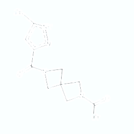 CC(C)C(=O)N1CC2(CN(C(=O)c3cc(C(C)C)[nH]n3)C2)C1